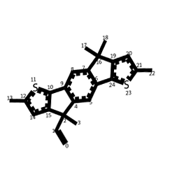 C=CC1(C)c2cc3c(cc2-c2sc(C)cc21)C(C)(C)c1cc(C)sc1-3